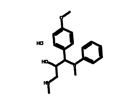 CNCC(O)C(c1ccc(OC)cc1)N(C)c1ccccc1.Cl